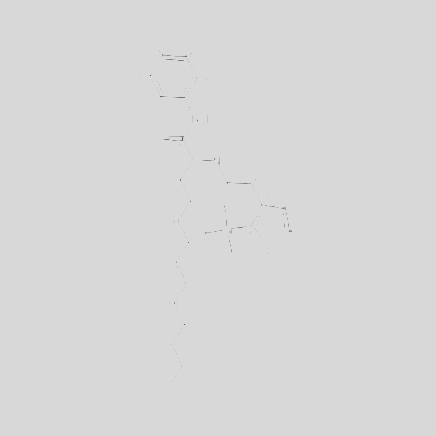 CCCCCCCCCCCC(NCCc1ccoc1[Si](C)(C)C)C(=O)Nc1ccccc1